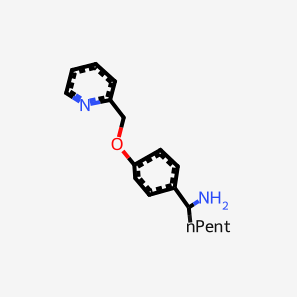 CCCCCC(N)c1ccc(OCc2ccccn2)cc1